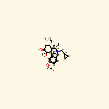 CC[C@H]1CC(=O)[C@@H]2Oc3c(OC)ccc4c3[C@@]23CCN(CC2CC2)[C@H](C4)[C@H]13